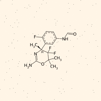 CC1(C)OC(N)=N[C@](C)(c2cc(NC=O)ccc2F)C1(F)F